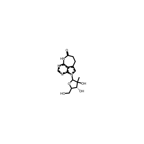 CC1(O)C(n2cc3c4c(ncnc42)NC(=O)CC3)OC(CO)[C@H]1O